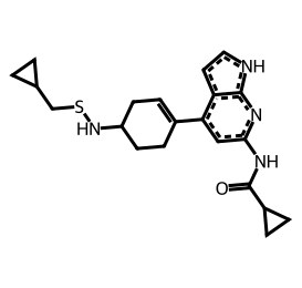 O=C(Nc1cc(C2=CCC(NSCC3CC3)CC2)c2cc[nH]c2n1)C1CC1